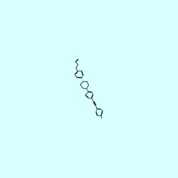 C=CCCc1ccc([C@H]2CC[C@H](c3ccc(C#Cc4ccc(C)cc4)cc3)CC2)cc1